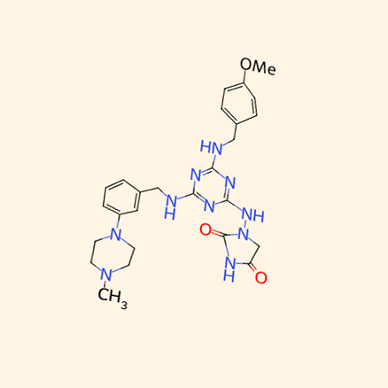 COc1ccc(CNc2nc(NCc3cccc(N4CCN(C)CC4)c3)nc(NN3CC(=O)NC3=O)n2)cc1